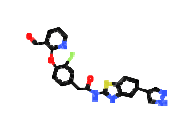 O=Cc1cccnc1Oc1ccc(CC(=O)Nc2nc3cc(-c4cn[nH]c4)ccc3s2)cc1F